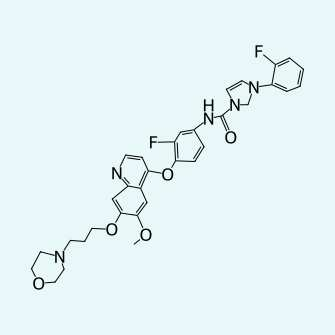 COc1cc2c(Oc3ccc(NC(=O)N4C=CN(c5ccccc5F)C4)cc3F)ccnc2cc1OCCCN1CCOCC1